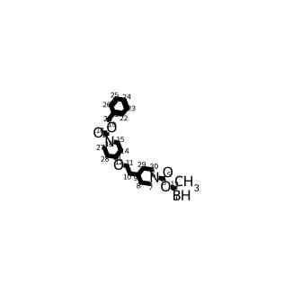 B=C(C)OC(=O)N1CCC(CCOC2CCN(C(=O)OCc3ccccc3)CC2)CC1